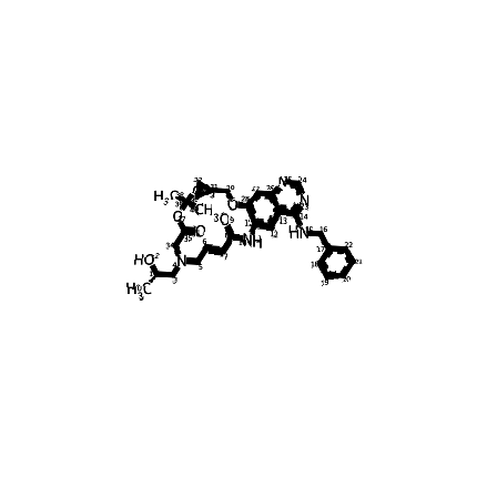 C[C@@H](O)CN(CC=CC(=O)Nc1cc2c(NCc3ccccc3)ncnc2cc1OCC1CC1)CC(=O)OC(C)(C)C